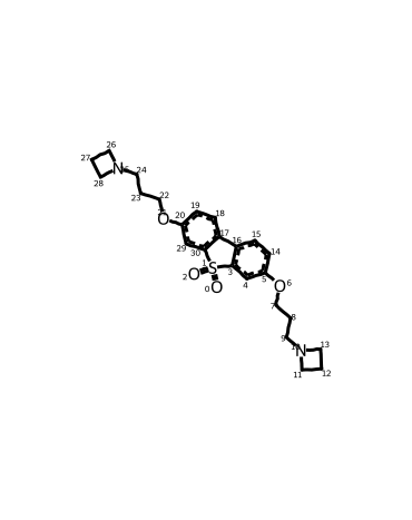 O=S1(=O)c2cc(OCCCN3CCC3)ccc2-c2ccc(OCCCN3CCC3)cc21